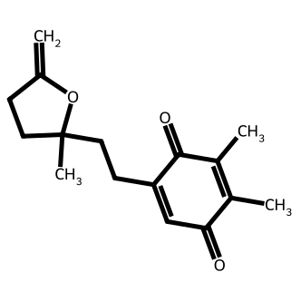 C=C1CCC(C)(CCC2=CC(=O)C(C)=C(C)C2=O)O1